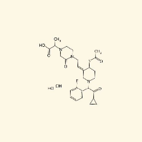 CC(=O)SC1CCN(C(C(=O)C2CC2)c2ccccc2F)CC1=CCN1CCN(C(C)C(=O)O)CC1=O.Cl.Cl